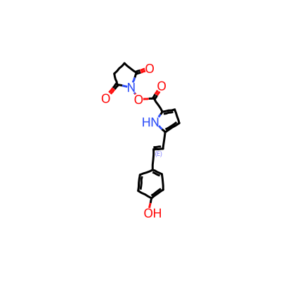 O=C(ON1C(=O)CCC1=O)c1ccc(/C=C/c2ccc(O)cc2)[nH]1